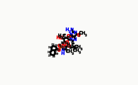 COc1nc(N)nc2c1ncn2C1O[C@H](CO[P@@](=O)(N[C@@H](C)C(=O)OCC(C)(C)C)Oc2cccc3ccccc23)[C@@H](O)[C@@]1(C)O